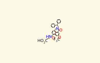 O=C(O)CCNC(=O)c1ccc(CN(CC(c2ccccc2)c2ccccc2)C(=O)c2cccc(OC(F)(F)F)c2)cc1